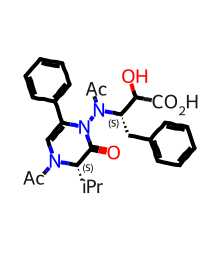 CC(=O)N1C=C(c2ccccc2)N(N(C(C)=O)[C@@H](Cc2ccccc2)C(O)C(=O)O)C(=O)[C@@H]1C(C)C